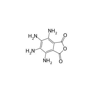 Nc1c(N)c(N)c2c(c1N)C(=O)OC2=O